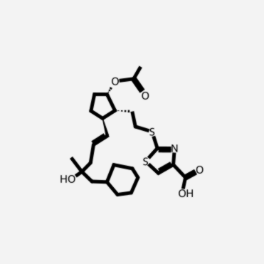 CC(=O)O[C@H]1CC[C@H](/C=C/CC(C)(O)CC2CCCCC2)[C@H]1CCSc1nc(C(=O)O)cs1